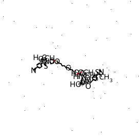 Cc1ncsc1-c1ccc(CNC(=O)[C@@H]2C[C@@H](O)CN2C(=O)C(NC(=O)COCCCOCCCCCOc2ccc(N3C(=S)N(c4ccc(C#N)cc4)C(=O)C3(C)C)cc2)C(C)(C)C)cc1